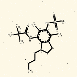 CCCCN1CCc2c(C)c(NS(N)(=O)=O)c(C)c(NC(=O)C(C)(C)C)c21